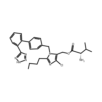 CCCCc1nc(Cl)c(COC(=O)[C@@H](N)C(C)C)n1Cc1ccc(-c2ccccc2-c2nn[nH]n2)cc1